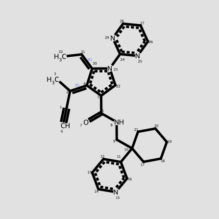 C#C/C(C)=c1\c(C(=O)NCC2(c3cccnc3)CCCCC2)cn(-c2ncccn2)\c1=C\C